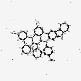 CC(C)(C)c1ccc(N2B3c4c(cc(C(C)(C)C)cc4N(c4ccc(C(C)(C)C)cc4-c4ccccc4)c4sc5ccccc5c43)-c3cc4c(cc32)oc2ccccc24)cc1